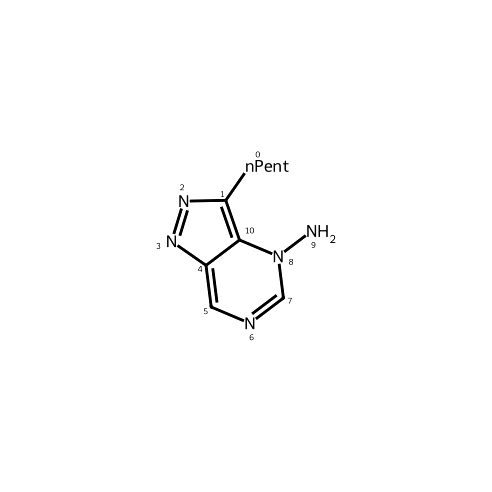 CCCCCc1nnc2cncn(N)c1-2